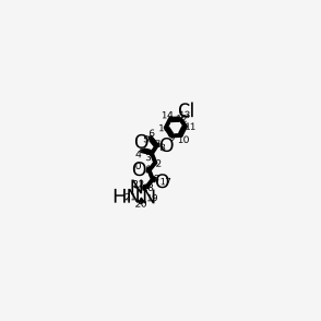 O=C(Cc1cocc1Oc1ccc(Cl)cc1)C(=O)c1nc[nH]n1